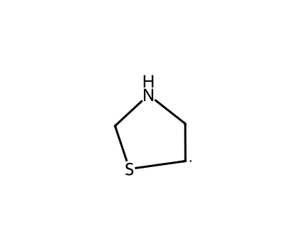 [CH]1CNCS1